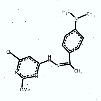 COc1nc(Cl)cc(NN=C(C)c2ccc(N(C)C)cc2)n1